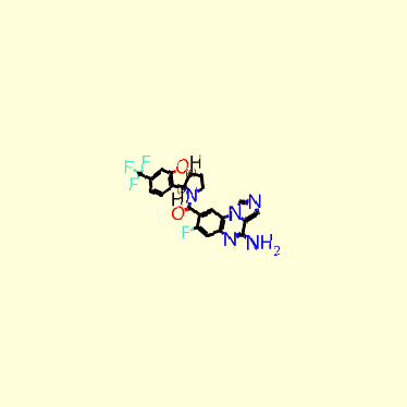 Nc1nc2cc(F)c(C(=O)N3CC[C@@H]4Oc5cc(C(F)(F)F)ccc5[C@@H]43)cc2n2cncc12